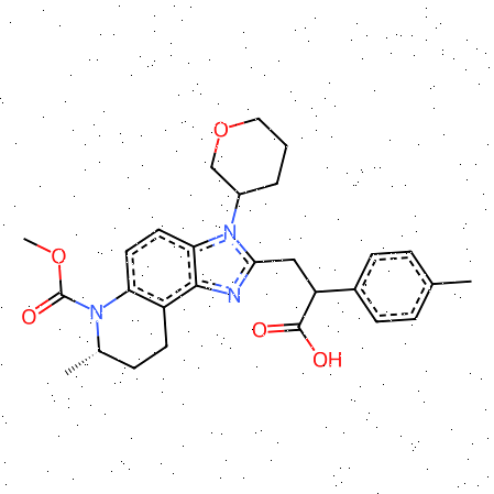 COC(=O)N1c2ccc3c(nc(CC(C(=O)O)c4ccc(C)cc4)n3C3CCCOC3)c2CC[C@@H]1C